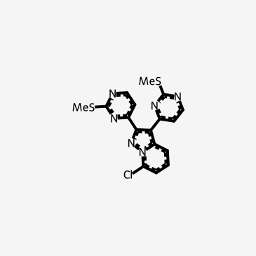 CSc1nccc(-c2nn3c(Cl)cccc3c2-c2ccnc(SC)n2)n1